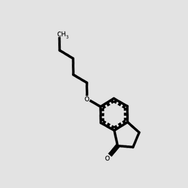 CCCCCOc1ccc2c(c1)C(=O)CC2